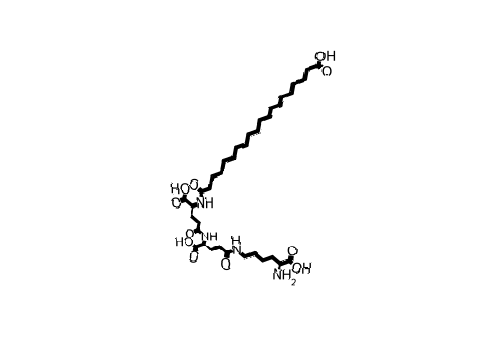 N[C@@H](CCCCNC(=O)CC[C@H](NC(=O)CC[C@H](NC(=O)CCCCCCCCCCCCCCCCCCC(=O)O)C(=O)O)C(=O)O)C(=O)O